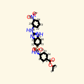 CC(C)OC(=O)c1ccc(NS(=O)(=O)c2ccc3[nH]c(Nc4cccc([N+](=O)[O-])c4)nc3c2)cc1